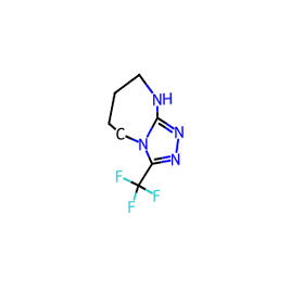 FC(F)(F)c1nnc2n1CCCCN2